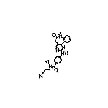 CN1C(=O)Cc2cnc(Nc3ccc(C(=O)N(CCC#N)C4CC4)cc3)nc2-c2ccccc21